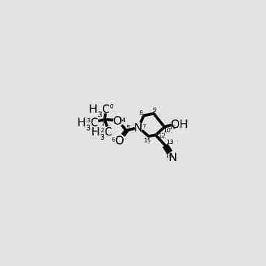 CC(C)(C)OC(=O)N1CCC(O)C(C#N)C1